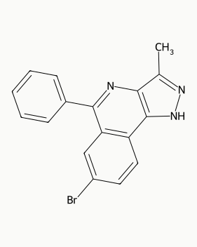 Cc1n[nH]c2c1nc(-c1ccccc1)c1cc(Br)ccc12